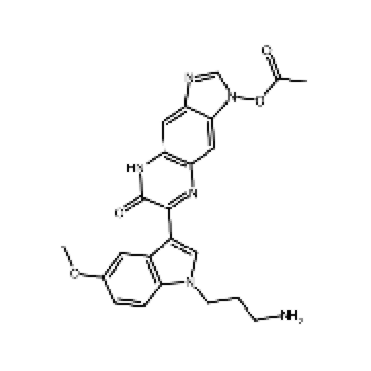 COc1ccc2c(c1)c(-c1nc3cc4c(cc3[nH]c1=O)ncn4OC(C)=O)cn2CCCN